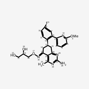 COc1cccc(-c2cc(F)ccc2[C@@H]2C/C(=N\OC[C@H](O)CO)c3c(C)nc(N)nc3C2)n1